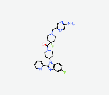 Nc1cnc(CN2CCC(F)(C(=O)N3CCC(n4c(-c5ccccn5)nc5cc(F)ccc54)CC3)CC2)cn1